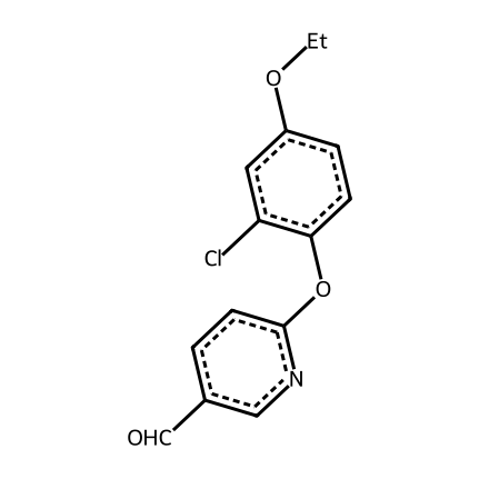 CCOc1ccc(Oc2ccc(C=O)cn2)c(Cl)c1